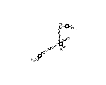 COc1ccc(COCCOCCOCCOc2cc(C(=O)O)cc(OCCO)c2OCCOCCOC(CO)OCc2ccc(OC)cc2)cc1